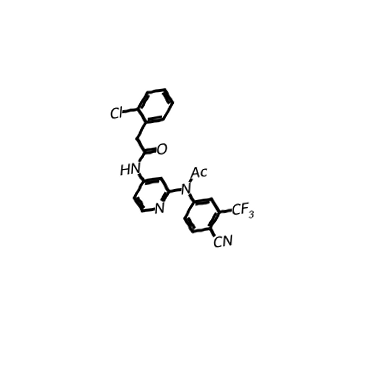 CC(=O)N(c1ccc(C#N)c(C(F)(F)F)c1)c1cc(NC(=O)Cc2ccccc2Cl)ccn1